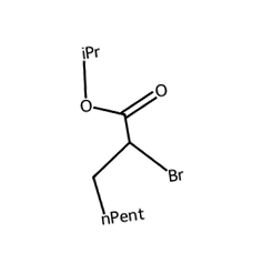 CCCCCCC(Br)C(=O)OC(C)C